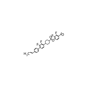 C/C=C/c1ccc(-c2ccc(C3CCC(C(=O)Oc4ccc(C5CO5)c(F)c4F)CC3)c(F)c2F)cc1